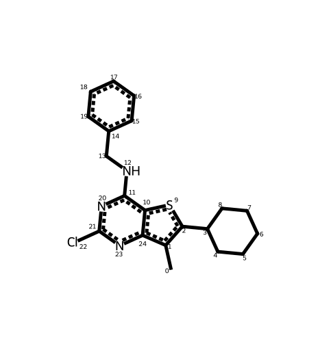 Cc1c(C2CCCCC2)sc2c(NCc3ccccc3)nc(Cl)nc12